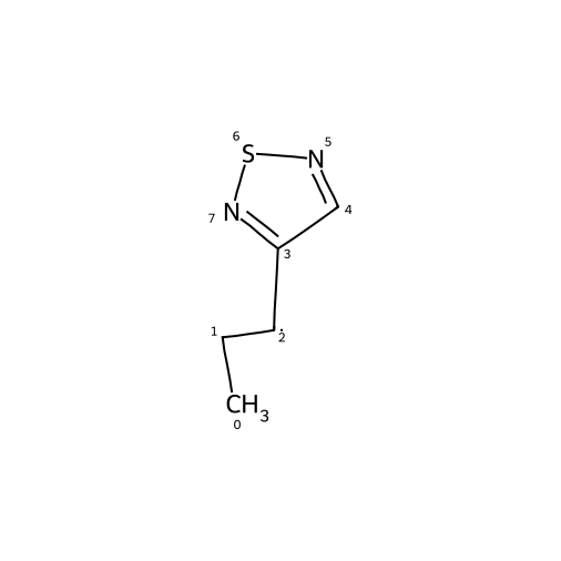 CC[CH]c1cnsn1